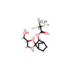 O=C(OC1C2CCC(C2)C12OCC(CO)O2)C(F)(F)S(=O)(=O)O